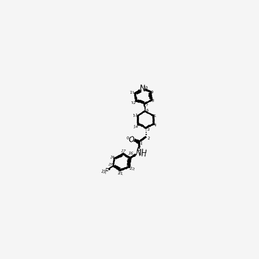 O=C(C[C@H]1CC[C@H](c2ccncc2)CC1)Nc1ccc(F)cc1